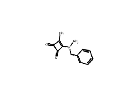 NN(Cc1ccccc1)c1c(O)c(=O)c1=O